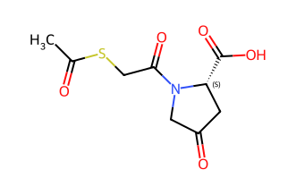 CC(=O)SCC(=O)N1CC(=O)C[C@H]1C(=O)O